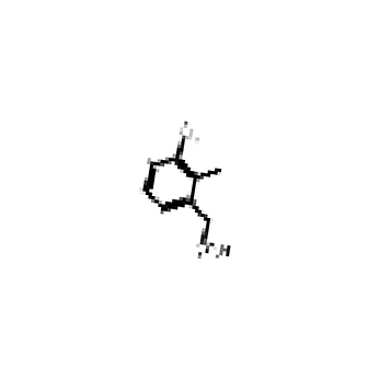 Cc1c(CC(=O)O)cccc1C(F)(F)F